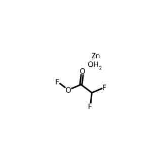 O.O=C(OF)C(F)F.[Zn]